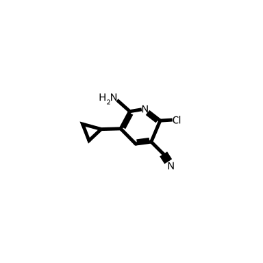 N#Cc1cc(C2CC2)c(N)nc1Cl